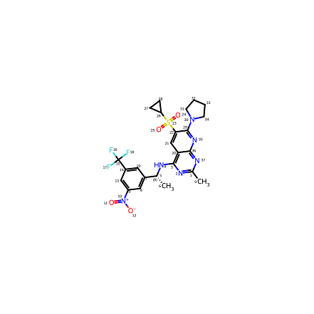 Cc1nc(N[C@H](C)c2cc([N+](=O)[O-])cc(C(F)(F)F)c2)c2cc(S(=O)(=O)C3CC3)c(N3CCCC3)nc2n1